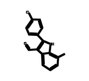 Cc1cccc2c(C=O)c(-c3ccc(Cl)cc3)[nH]c12